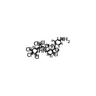 Cc1cc(N)ccc1NC(=O)c1cc(NC(=O)[C@@H]2[C@@H](c3cc(Cl)c(Cl)c(Cl)c3)C2(Cl)Cl)ccc1Cl